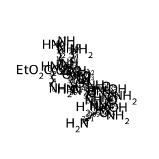 CCOC(=O)[C@H](CCCCN)NC(=O)/C(=C/CCNC(=N)N)NC(=O)[C@H](CCCCN)NC(=O)[C@H](Cc1cnc[nH]1)NC(=O)[C@@H]1CCCN1C(=O)[C@@H](CCCN)NC(=O)CNC(=O)[C@@H](NC(=O)[C@@H](NC(=O)[C@@H](N)CCCCN)[C@@H](O)CN)[C@@H](O)CN